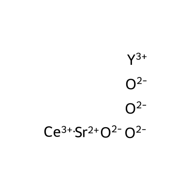 [Ce+3].[O-2].[O-2].[O-2].[O-2].[Sr+2].[Y+3]